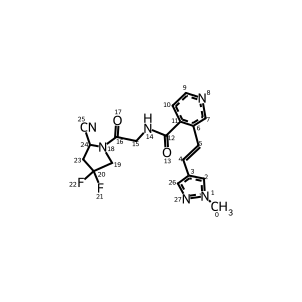 Cn1cc(C=Cc2cnccc2C(=O)NCC(=O)N2CC(F)(F)CC2C#N)cn1